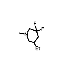 CCC1CN(C)CC(F)(F)C1